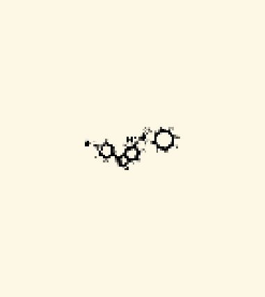 CC(C)N1CCC(c2csc3ccc(NC(=O)OC4CCCCCCC4)cc23)CC1